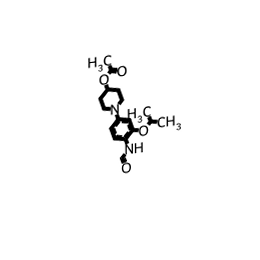 CC(=O)OC1CCN(c2ccc(NC=O)c(OC(C)C)c2)CC1